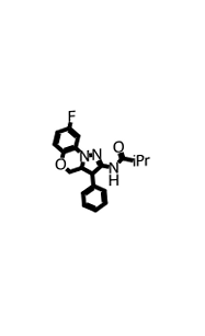 CC(C)C(=O)NC1=NN2c3cc(F)ccc3OCC2C1c1ccccc1